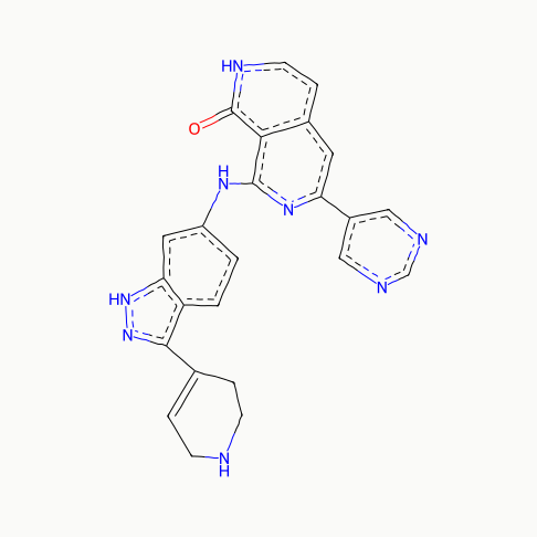 O=c1[nH]ccc2cc(-c3cncnc3)nc(Nc3ccc4c(C5=CCNCC5)n[nH]c4c3)c12